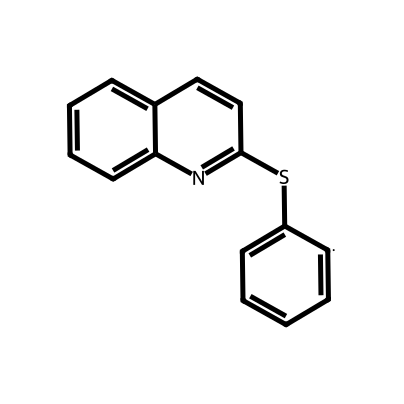 [c]1ccccc1Sc1ccc2ccccc2n1